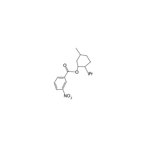 CC1CCC(C(C)C)C(OC(=O)c2cccc([N+](=O)[O-])c2)C1